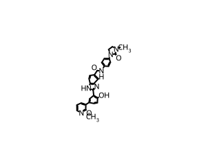 COc1ncccc1-c1ccc(O)c(-c2nc3cc(C(=O)Nc4ccc(N5CCN(C)C5=O)cc4)ccc3[nH]2)c1